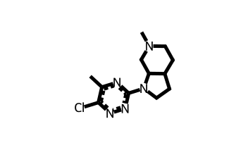 Cc1nc(N2CCC3CCN(C)CC32)nnc1Cl